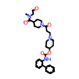 CN(CC=O)C(=O)C1CCN(C(=O)CCN2CCC(OC(=O)Nc3ccccc3-c3ccccc3)CC2)CC1